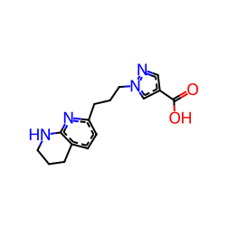 O=C(O)c1cnn(CCCc2ccc3c(n2)NCCC3)c1